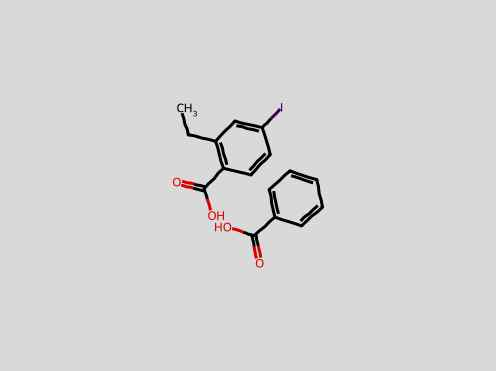 CCc1cc(I)ccc1C(=O)O.O=C(O)c1ccccc1